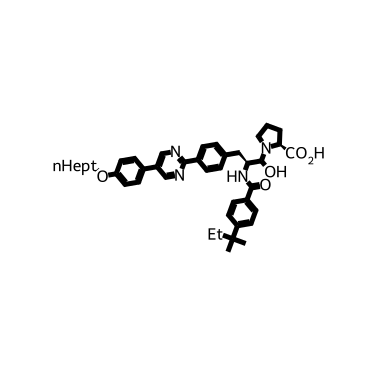 CCCCCCCOc1ccc(-c2cnc(-c3ccc(C[C@H](NC(=O)c4ccc(C(C)(C)CC)cc4)C(O)N4CCC[C@H]4C(=O)O)cc3)nc2)cc1